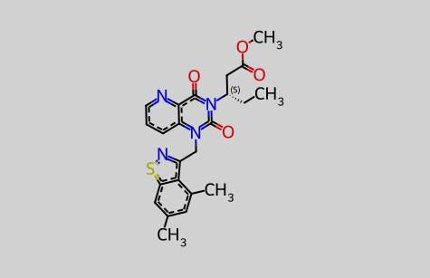 CC[C@@H](CC(=O)OC)n1c(=O)c2ncccc2n(Cc2nsc3cc(C)cc(C)c23)c1=O